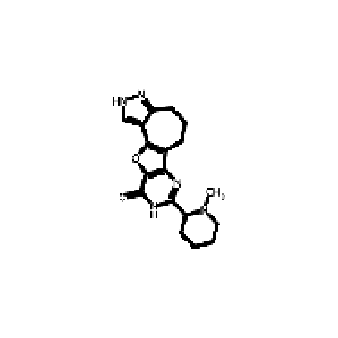 CN1CCCCC1c1nc2c3c(oc2c(=O)[nH]1)-c1c[nH]nc1CCC3